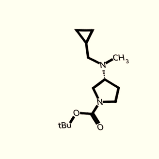 CN(CC1CC1)[C@@H]1CCN(C(=O)OC(C)(C)C)C1